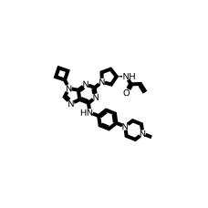 C=CC(=O)N[C@H]1CCN(c2nc(Nc3ccc(N4CCN(C)CC4)cc3)c3ncn(C4CCC4)c3n2)C1